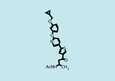 CC(=O)NC(C)CC(=O)c1csc(-c2ccc(Oc3cccc(OCC4CC4)c3)nc2)c1